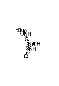 CC(C)(C)OC(=O)NCCOCCNC(=O)[C@H](CCO)NC(=O)OCc1ccccc1